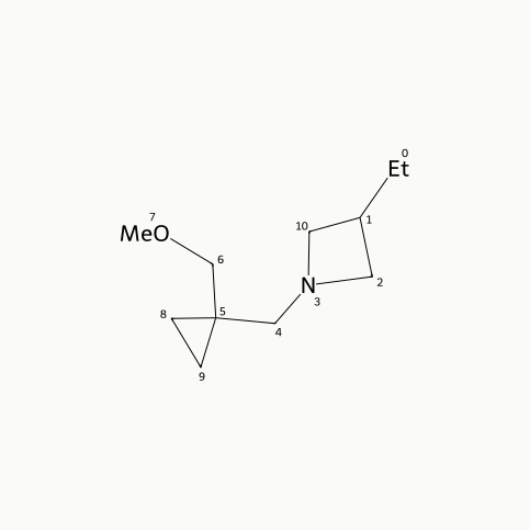 CCC1CN(CC2(COC)CC2)C1